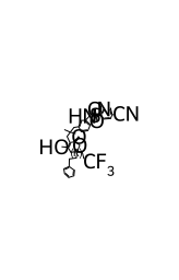 CC(C)(CC1=C(O)C[C@@](CCc2ccccc2)(CCC(F)(F)F)OC1=O)Cc1cccc(NS(=O)(=O)c2ccc(C#N)cn2)c1